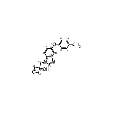 Cc1ccc(Oc2ccc3c(c2)ncn3CC2(O)COC2)cc1